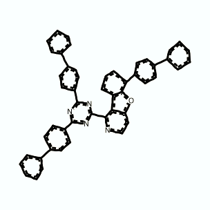 c1ccc(-c2ccc(-c3nc(-c4ccc(-c5ccccc5)cc4)nc(-c4nccc5oc6c(-c7ccc(-c8ccccc8)cc7)cccc6c45)n3)cc2)cc1